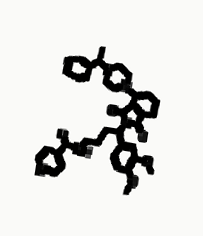 COc1ccc(C(CCCNC(=O)c2ccncc2)N2C(=O)c3cccc(N4CCN(C(C)c5ccccc5)CC4)c3C2=O)cc1OC